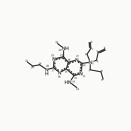 C=CC[N+](CC=C)(CCC)c1nc(NC)c2nc(NCCC)nc(NC)c2n1